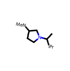 CNC1CCN(C(C)C(C)C)C1